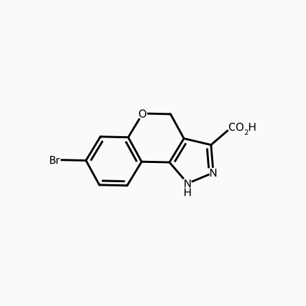 O=C(O)c1n[nH]c2c1COc1cc(Br)ccc1-2